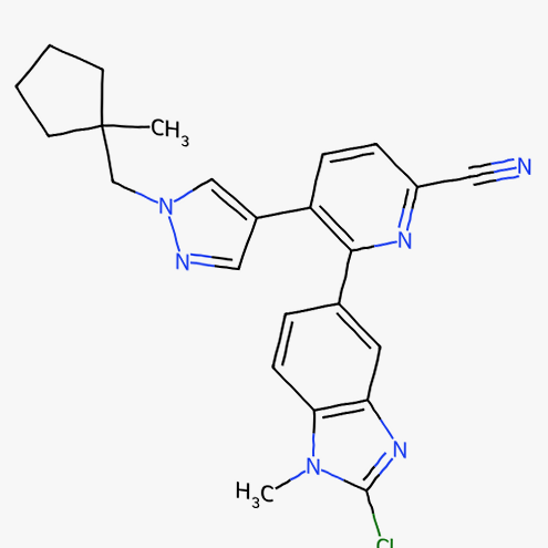 Cn1c(Cl)nc2cc(-c3nc(C#N)ccc3-c3cnn(CC4(C)CCCC4)c3)ccc21